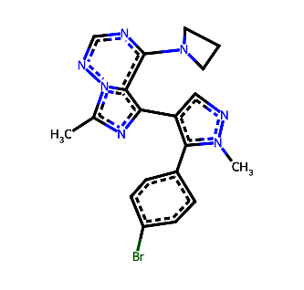 Cc1nc(-c2cnn(C)c2-c2ccc(Br)cc2)c2c(N3CCC3)ncnn12